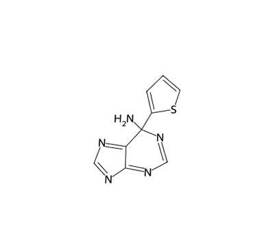 NC1(c2cccs2)N=CN=C2N=CN=C21